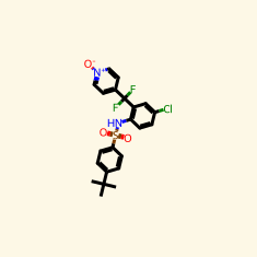 CC(C)(C)c1ccc(S(=O)(=O)Nc2ccc(Cl)cc2C(F)(F)c2cc[n+]([O-])cc2)cc1